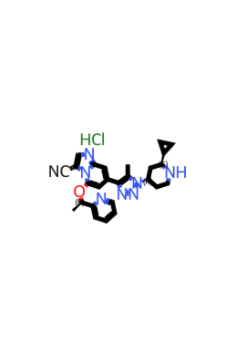 Cc1c(-c2cc(O[C@H](C)c3ccccn3)n3c(C#N)cnc3c2)nnn1[C@@H]1CCN[C@H](C2CC2)C1.Cl